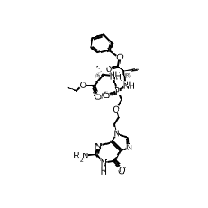 CCOC(=O)[C@H](C)NP(=O)(COCCn1cnc2c(=O)[nH]c(N)nc21)N[C@H](C)C(=O)Oc1ccccc1